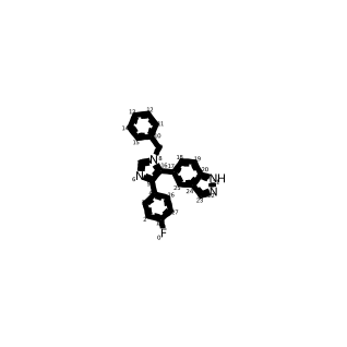 Fc1ccc(-c2ncn(Cc3ccccc3)c2-c2ccc3[nH]ncc3c2)cc1